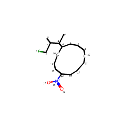 CC(CF)C(C)C1CCCCCCCC([N+](=O)[O-])CCC1